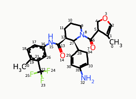 CC1=COCC1C(=O)N1CCC[C@H](C(=O)Nc2ccc(C)c(C(F)(F)F)c2)[C@@H]1C1C=CC(N)=CC1